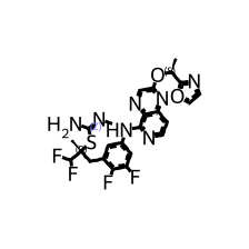 C/N=C(/N)S[C@](C)(Cc1cc(Nc2nccc3nc(O[C@@H](C)c4ncco4)cnc23)cc(F)c1F)C(F)F